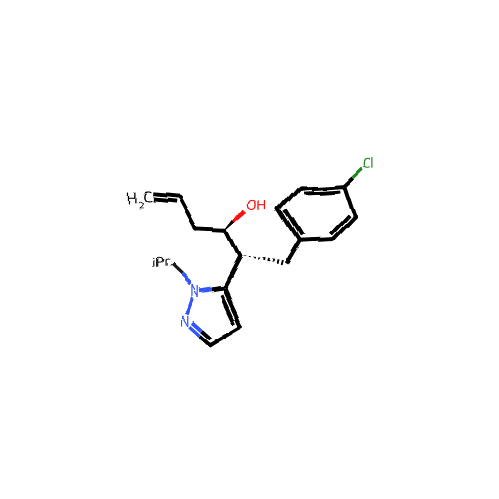 C=CC[C@@H](O)[C@H](Cc1ccc(Cl)cc1)c1ccnn1C(C)C